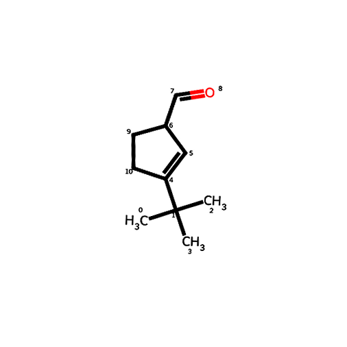 CC(C)(C)C1=CC(C=O)CC1